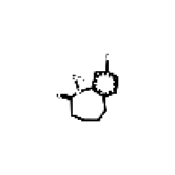 CN1C(=O)CCCCc2ccc(F)cc21